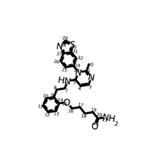 CC1=NC=CC(NCCc2ccccc2OCCCCC(N)=O)N1c1ccc2ncsc2c1